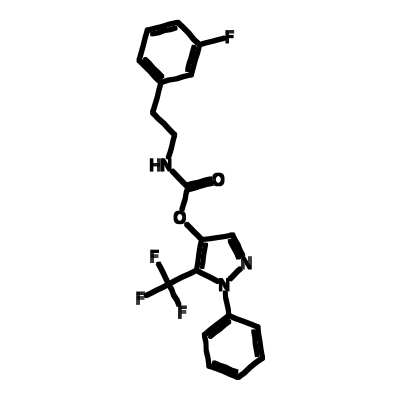 O=C(NCCc1cccc(F)c1)Oc1cnn(-c2ccccc2)c1C(F)(F)F